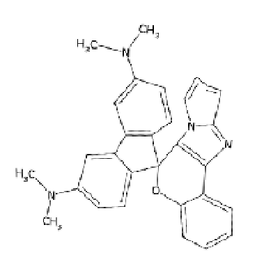 CN(C)c1ccc2c(c1)-c1cc(N(C)C)ccc1C21Oc2ccccc2-c2nc3ccccn3c21